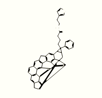 O=C(CCCC1(c2ccccc2)C2c3cc4c5c6c3C3c7c8c9c(cc%10ccc%11cc(c5c5c%11c%10c9c5c76)C4)CC8=CC3C21)OCCc1ccsc1